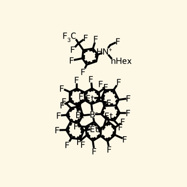 CCCCCC[NH+](CF)c1cc(F)c(F)c(C(F)(F)C(F)(F)F)c1F.CCc1c(F)c(F)c(F)c2c(F)c(F)c(F)c([B-](c3c(F)c(F)c(F)c4c(F)c(F)c(F)c(CC)c34)(c3c(F)c(F)c(F)c4c(F)c(F)c(F)c(CC)c34)c3c(F)c(F)c(F)c4c(F)c(F)c(F)c(CC)c34)c12